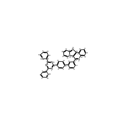 c1ccc(-c2nc(-c3ccc(-c4cccc(-c5nc6ccccc6c6nc7ccccn7c56)c4)cc3)nc(-c3ccccn3)n2)nc1